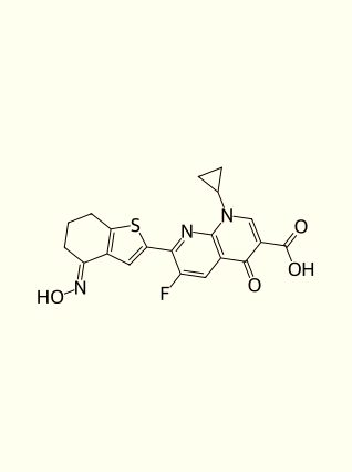 O=C(O)c1cn(C2CC2)c2nc(-c3cc4c(s3)CCCC4=NO)c(F)cc2c1=O